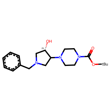 CC(C)(C)OC(=O)N1CCN(C2CN(Cc3ccccc3)C[C@@H]2O)CC1